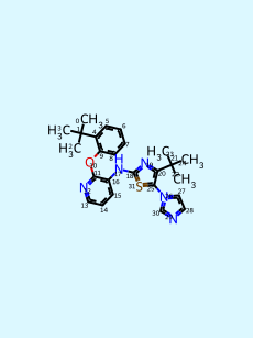 CC(C)(C)c1ccccc1Oc1ncccc1Nc1nc(C(C)(C)C)c(-n2ccnc2)s1